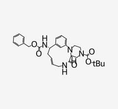 CC(C)(C)OC(=O)N1CCN2c3cccc(c3)[C@@H](NC(=O)OCc3ccccc3)C/C=C/CNC(=O)[C@H]2C1